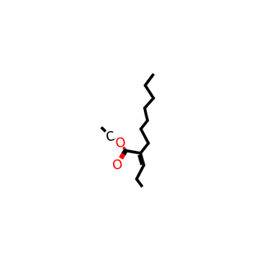 CCC=C(CCCCCCC)C(=O)OCC